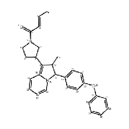 CC=CC(=O)N1CCC(C2=C3C=CN=CN3C(c3ccc(Oc4ccccc4)cc3)C2C)C1